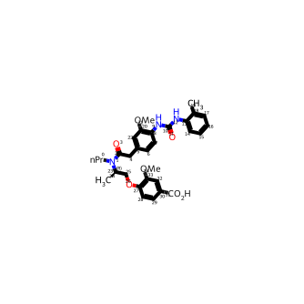 CCCN(C(=O)Cc1ccc(NC(=O)Nc2ccccc2C)c(OC)c1)[C@H](C)COc1ccc(C(=O)O)cc1OC